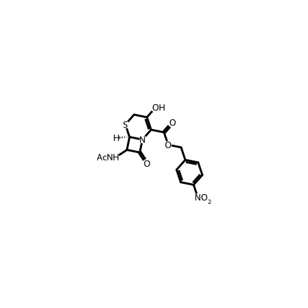 CC(=O)NC1C(=O)N2C(C(=O)OCc3ccc([N+](=O)[O-])cc3)=C(O)CS[C@H]12